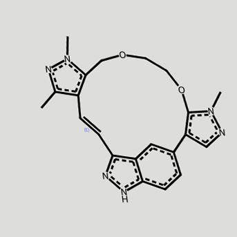 Cc1nn(C)c2c1/C=C/c1n[nH]c3ccc(cc13)-c1cnn(C)c1OCCOC2